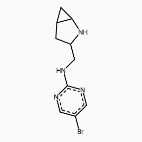 Brc1cnc(NCC2CC3CC3N2)nc1